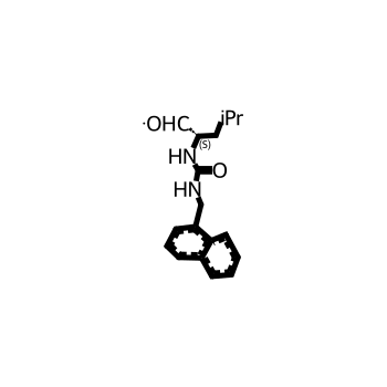 CC(C)C[C@@H]([C]=O)NC(=O)NCc1cccc2ccccc12